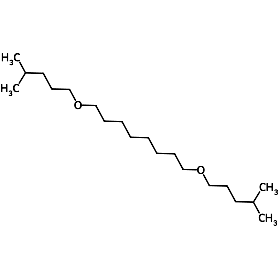 CC(C)CCCOCCCCCCCCOCCCC(C)C